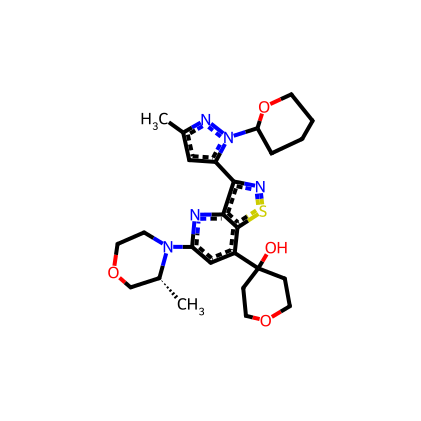 Cc1cc(-c2nsc3c(C4(O)CCOCC4)cc(N4CCOC[C@H]4C)nc23)n(C2CCCCO2)n1